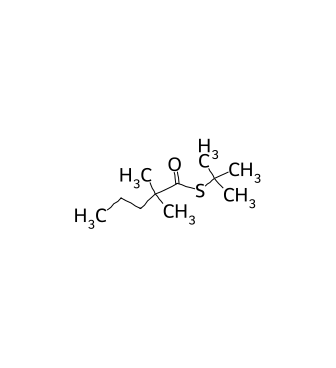 CCCC(C)(C)C(=O)SC(C)(C)C